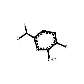 O=Cc1nc(C(F)F)ccc1F